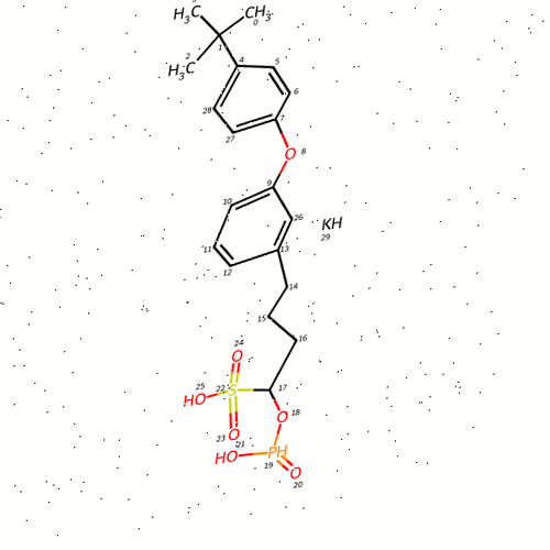 CC(C)(C)c1ccc(Oc2cccc(CCCC(O[PH](=O)O)S(=O)(=O)O)c2)cc1.[KH]